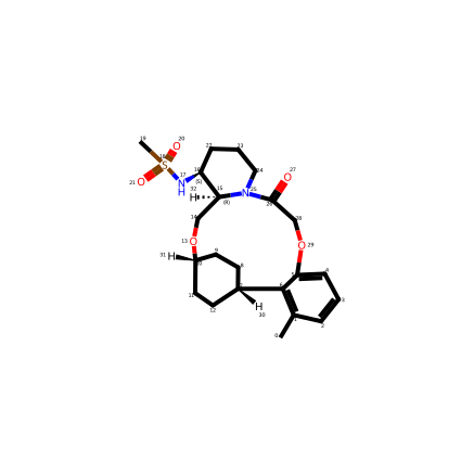 Cc1cccc2c1[C@H]1CC[C@H](CC1)OC[C@H]1[C@@H](NS(C)(=O)=O)CCCN1C(=O)CO2